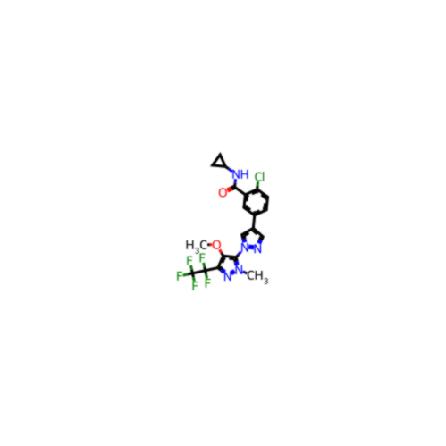 COc1c(C(F)(F)C(F)(F)F)nn(C)c1-n1cc(-c2ccc(Cl)c(C(=O)NC3CC3)c2)cn1